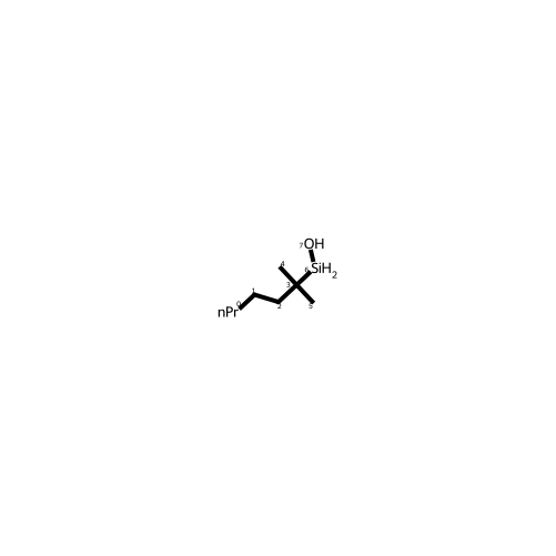 CCCCCC(C)(C)[SiH2]O